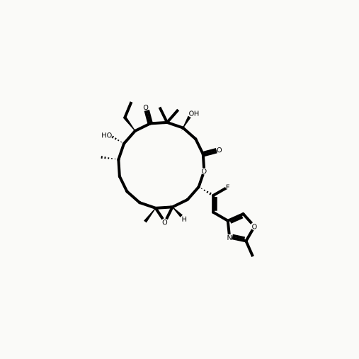 CC[C@H]1C(=O)C(C)(C)[C@@H](O)CC(=O)O[C@H](C(F)=Cc2coc(C)n2)C[C@@H]2O[C@]2(C)CCC[C@H](C)[C@@H]1O